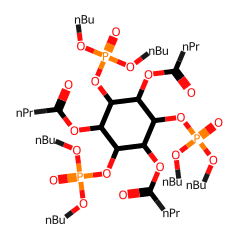 CCCCOP(=O)(OCCCC)OC1C(OC(=O)CCC)C(OP(=O)(OCCCC)OCCCC)C(OC(=O)CCC)C(OP(=O)(OCCCC)OCCCC)C1OC(=O)CCC